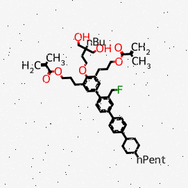 C=C(C)C(=O)OCCCc1cc(-c2ccc(-c3ccc(C4CCC(CCCCC)CC4)cc3)cc2CF)cc(CCCOC(=O)C(=C)C)c1OCCC(CO)(CO)CCCC